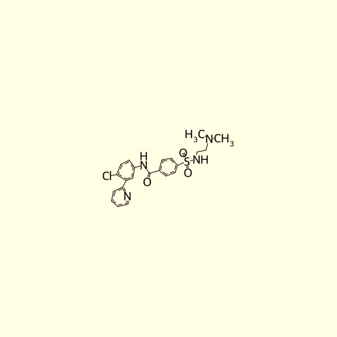 CN(C)CCNS(=O)(=O)c1ccc(C(=O)Nc2ccc(Cl)c(-c3ccccn3)c2)cc1